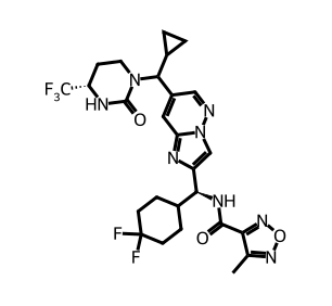 Cc1nonc1C(=O)N[C@H](c1cn2ncc(C(C3CC3)N3CC[C@@H](C(F)(F)F)NC3=O)cc2n1)C1CCC(F)(F)CC1